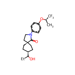 CCC(O)[C@H]1CC[C@]2(CCN(c3ccc(O[C@H](C)C(F)(F)F)cc3)C2=O)CC1